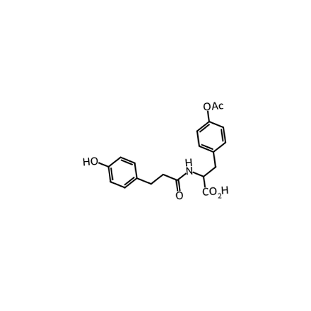 CC(=O)Oc1ccc(CC(NC(=O)CCc2ccc(O)cc2)C(=O)O)cc1